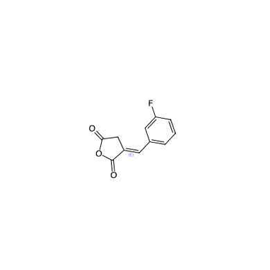 O=C1C/C(=C\c2cccc(F)c2)C(=O)O1